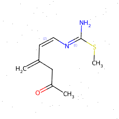 C=C(/C=C\N=C(/N)SC)CC(C)=O